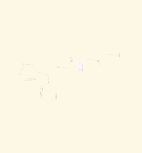 COC(=O)CNC(=O)OCC1c2ccccc2-c2ccccc21